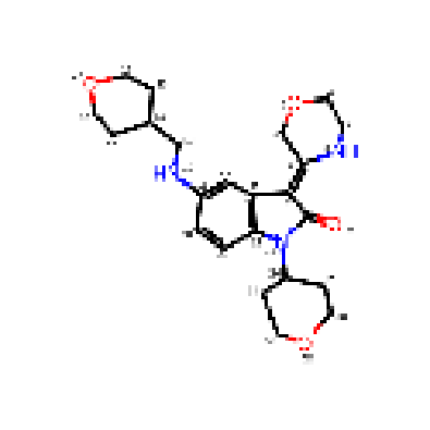 O=C1/C(=C2/COCCN2)c2cc(NCC3CCOCC3)ccc2N1C1CCOCC1